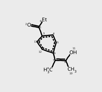 CCC(=O)c1ccc(C(C)=C(C)O)cc1